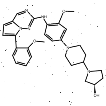 COc1cc(N2CCC(N3CC[C@@H](O)C3)CC2)ccc1Nc1ncc2ccc(-c3ccccc3OC)n2n1